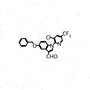 O=Cc1cn(-c2ncc(C(F)(F)F)cc2Cl)c2ccc(OCc3ccccc3)cc12